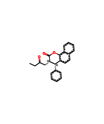 CCC(=O)C[C@@H]1C(=O)Oc2c(ccc3ccccc23)[C@@H]1c1ccccc1